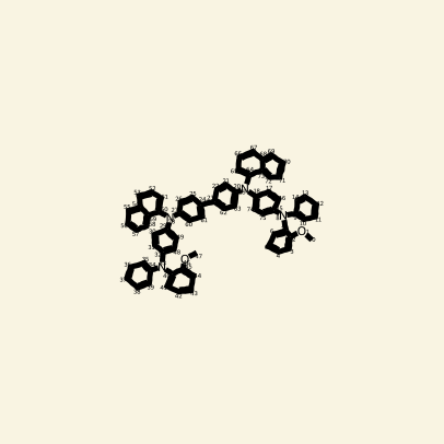 COc1ccccc1N(c1ccccc1)c1ccc(N(c2ccc(-c3ccc(N(c4ccc(N(c5ccccc5)c5ccccc5OC)cc4)c4cccc5ccccc45)cc3)cc2)c2cccc3ccccc23)cc1